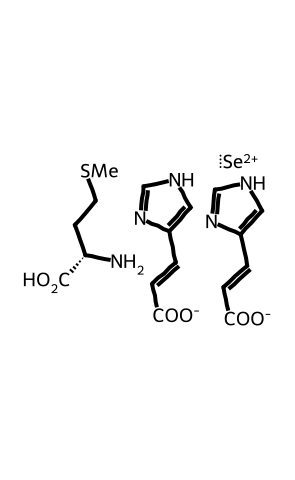 CSCC[C@H](N)C(=O)O.O=C([O-])C=Cc1c[nH]cn1.O=C([O-])C=Cc1c[nH]cn1.[Se+2]